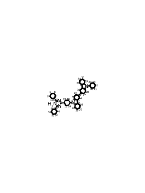 N/C(=N\C(/N=C/c1ccccc1)C1=CCC(n2c3ccccc3c3cc(-c4ccc5c(c4)c4ccccc4n5-c4ccccc4)ccc32)C=C1)c1ccccc1